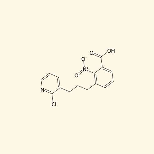 O=C(O)c1cccc(CCCc2cccnc2Cl)c1[N+](=O)[O-]